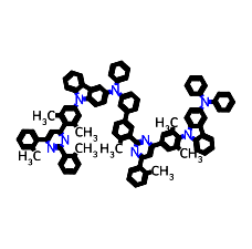 Cc1ccccc1-c1cc(-c2cc(C)c(-n3c4ccccc4c4cc(N(c5ccccc5)c5ccccc5)ccc43)c(C)c2)nc(-c2cc(-c3cccc(N(c4ccccc4)c4ccc5c(c4)c4ccccc4n5-c4cc(C)c(-c5cc(-c6ccccc6C)nc(-c6ccccc6C)n5)c(C)c4)c3)ccc2C)n1